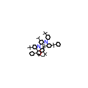 CC(C)c1cc2c3c(c1)N(c1ccc(C(C)(C)C)cc1-c1ccccc1-c1ccccc1)c1cc4c(cc1B3c1ccc(C(C)(C)c3ccccc3)cc1N2c1cccc(C(C)(C)C)c1)C(C)(C)CCC4(C)C